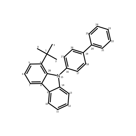 CC(C)(C)c1cccc2c3ccccc3n(-c3ccc(-c4ccccc4)cc3)c12